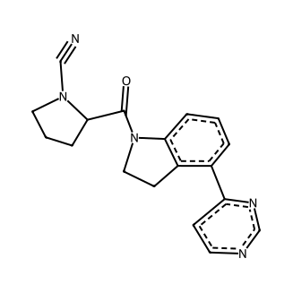 N#CN1CCCC1C(=O)N1CCc2c(-c3ccncn3)cccc21